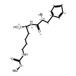 CC(C)(C)OC(=O)NCCCC[C@H](NC(=O)[C@H](Br)Cc1ccccc1)C(=O)O